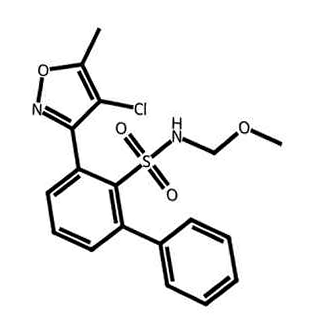 COCNS(=O)(=O)c1c(-c2ccccc2)cccc1-c1noc(C)c1Cl